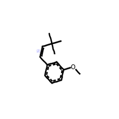 COc1cccc(/C=C\C(C)(C)C)c1